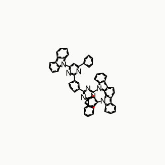 c1ccc(-c2cc(-n3c4ccccc4c4ccccc43)nc(-c3cccc(-c4nc(-c5ccccc5)nc(-n5c6ccccc6c6ccc7c8ccccc8n(-c8ccccc8)c7c65)n4)c3)n2)cc1